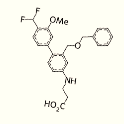 COc1cc(-c2ccc(NCCC(=O)O)cc2COCc2ccccc2)ccc1C(F)F